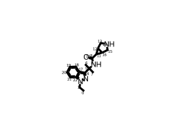 CCn1nc(C(C)(C)NC(=O)C2C3CNCC32)c2ccccc21